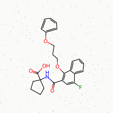 O=C(NC1(C(=O)O)CCCC1)c1cc(F)c2ccccc2c1OCCCOc1ccccc1